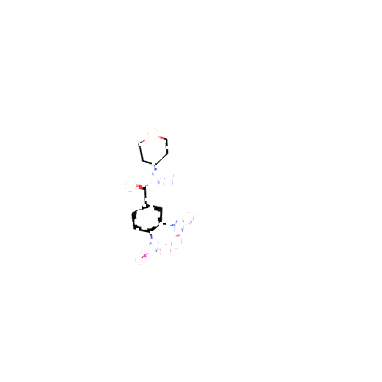 O=C(NC1CCOCC1)c1ccc([N+](=O)[O-])c([N+](=O)[O-])c1